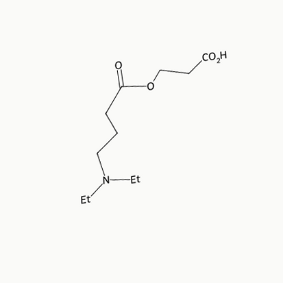 CCN(CC)CCCC(=O)OCCC(=O)O